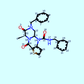 C[C@H]1C(=O)N(Cc2ccccc2)CC2N(C(=O)NCc3ccccc3)c3ccsc3C(=O)N21